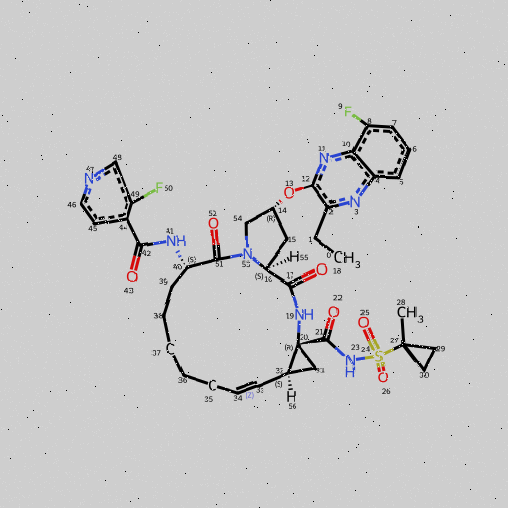 CCc1nc2cccc(F)c2nc1O[C@@H]1C[C@H]2C(=O)N[C@]3(C(=O)NS(=O)(=O)C4(C)CC4)C[C@H]3/C=C\CCCCC[C@H](NC(=O)c3ccncc3F)C(=O)N2C1